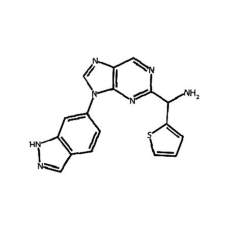 NC(c1ncc2ncn(-c3ccc4cn[nH]c4c3)c2n1)c1cccs1